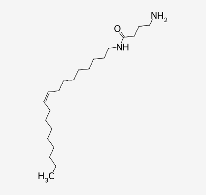 CCCCCCCC/C=C\CCCCCCCCNC(=O)CCCN